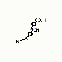 N#CCCCOc1ccc(/C(C#N)=C/c2ccc(C(=O)O)cc2)cc1